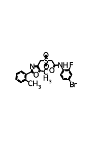 Cc1ccccc1-c1nc(CS(=O)(=O)CC(=O)Nc2ccc(Br)cc2F)c(C)o1